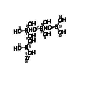 OB(O)O.OB(O)O.OB(O)O.OB(O)O.[Zr]